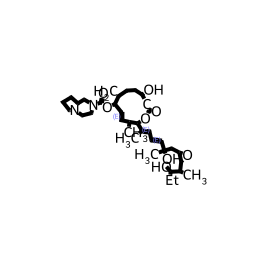 C=C1CCC(O)CC(=O)OC(/C(C)=C/C=C/C(C)(O)CC2OC2C(C)C(O)CC)C(C)/C=C/C1OC(=O)N1CCN2CCCC2C1